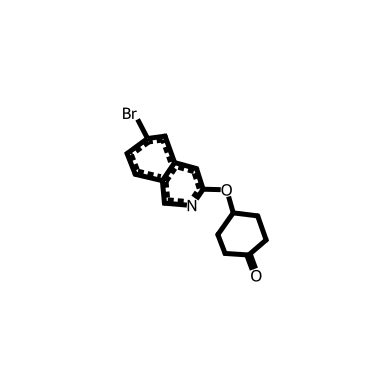 O=C1CCC(Oc2cc3cc(Br)ccc3cn2)CC1